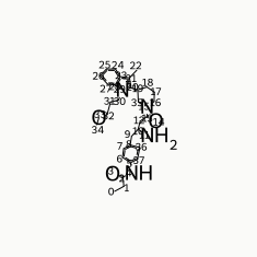 CCC(=O)Nc1ccc(CC(N)CC(=O)N2CCCC(c3c(C)c4ccccc4n3CCCOC)C2)cc1